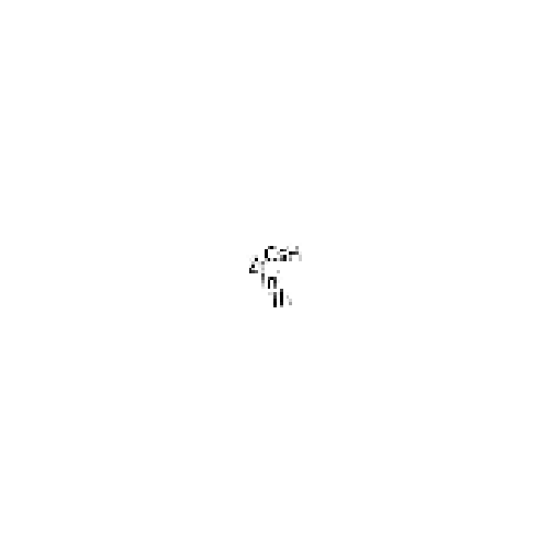 [CsH].[In].[Th].[Zr]